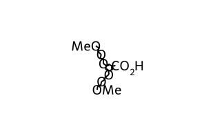 COCCOCCOc1cc(OCCOCCOC)cc(C(=O)O)c1